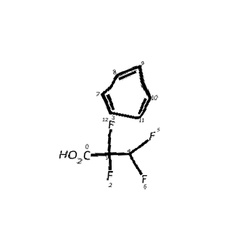 O=C(O)C(F)(F)C(F)F.c1ccccc1